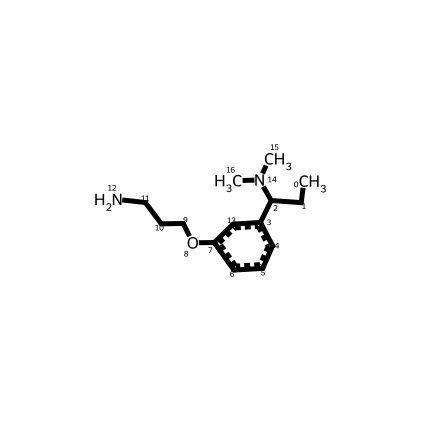 CCC(c1cccc(OCCCN)c1)N(C)C